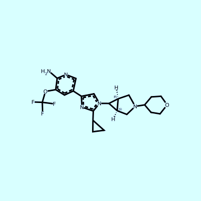 Nc1ncc(-c2cn(C3[C@H]4CN(C5CCOCC5)C[C@@H]34)c(C3CC3)n2)cc1OC(F)(F)F